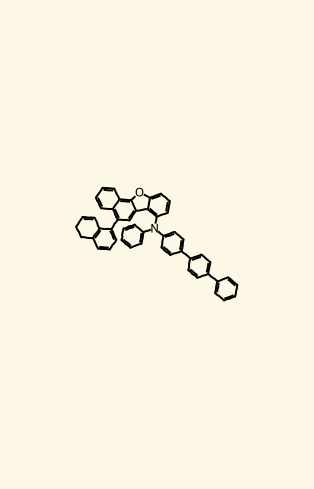 C1=Cc2c(cccc2-c2cc3c(oc4cccc(N(c5ccccc5)c5ccc(-c6ccc(-c7ccccc7)cc6)cc5)c43)c3ccccc23)CC1